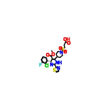 COC(=O)C1=C(C2CCN(S(=O)(=O)CCC(=O)O)CC2)NC(c2nccs2)=N[C@@H]1c1cccc(F)c1Cl